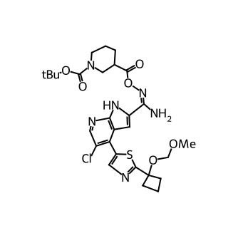 COCOC1(c2ncc(-c3c(Cl)cnc4[nH]c(/C(N)=N\OC(=O)C5CCCN(C(=O)OC(C)(C)C)C5)cc34)s2)CCC1